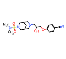 CN(C)S(=O)(=O)N1CC2CC(CN(CC(O)COc3ccc(C#N)cc3)C2)C1